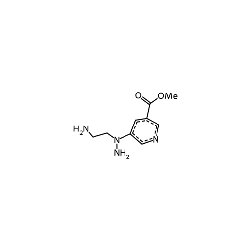 COC(=O)c1cncc(N(N)CCN)c1